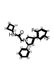 O=C(CN1CC(c2cc(F)ccc2F)=C[C@H]1c1ccccc1)NC1CCC1